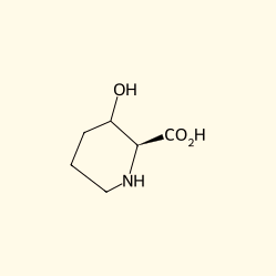 O=C(O)[C@H]1NCCCC1O